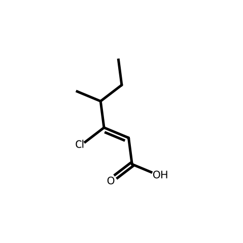 CCC(C)/C(Cl)=C/C(=O)O